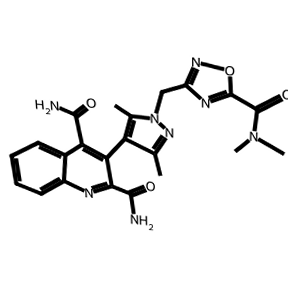 Cc1nn(Cc2noc(C(=O)N(C)C)n2)c(C)c1-c1c(C(N)=O)nc2ccccc2c1C(N)=O